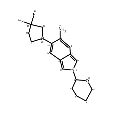 Nc1cc2cn(C3CCCCO3)cc2cc1N1CCC(F)(F)C1